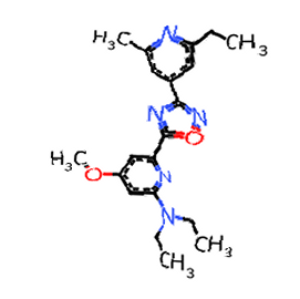 CCc1cc(-c2noc(-c3cc(OC)cc(N(CC)CC)n3)n2)cc(C)n1